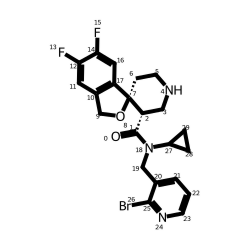 O=C([C@H]1CNCC[C@@]12OCc1cc(F)c(F)cc12)N(Cc1cccnc1Br)C1CC1